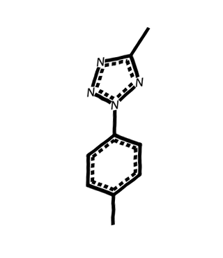 Cc1ccc(-n2nnc(C)n2)cc1